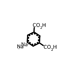 O=C(O)c1cccc(C(=O)O)c1.[Na].[Na]